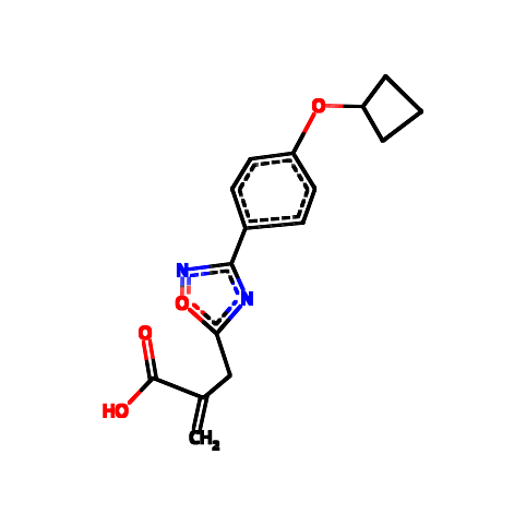 C=C(Cc1nc(-c2ccc(OC3CCC3)cc2)no1)C(=O)O